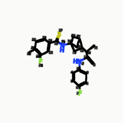 C=C(Nc1ccc(F)cc1)[C@H](C)C1CC2(NC(=S)c3ccc(C)c(F)c3)CC1C2